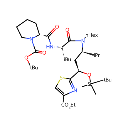 CCCCCCN(C(=O)[C@@H](NC(=O)[C@H]1CCCCN1C(=O)OC(C)(C)C)[C@@H](C)CC)[C@H](C[C@@H](O[Si](C)(C)C(C)(C)C)c1nc(C(=O)OCC)cs1)C(C)C